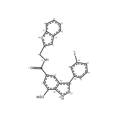 COc1cc(C(=O)NCc2cc3ccccc3o2)cc2c(-c3cccc(F)c3)n[nH]c12